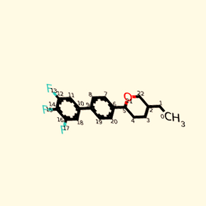 CCC1CCC(c2ccc(-c3cc(F)c(F)c(F)c3)cc2)OC1